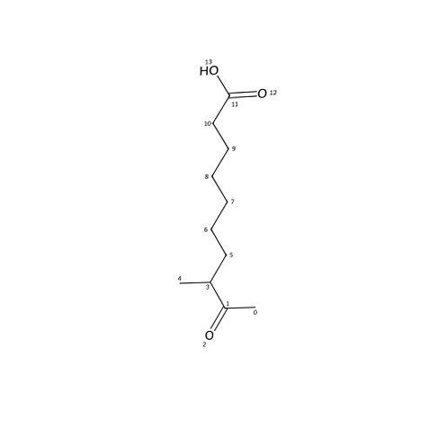 CC(=O)C(C)CCCCCCC(=O)O